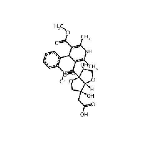 COC(=O)C1=C(C)NC(C)=C(C(=O)[C@]23OC[C@@](O)(CC(=O)O)[C@H]2OC[C@@H]3O)C1c1ccccc1[N+](=O)[O-]